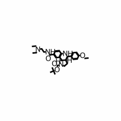 CCOc1ccc(C2Nc3ccc(C(=O)NCCN(CC)CC)cc3[C@@H]3[C@H]2CCN3C(=O)OC(C)(C)C)cc1